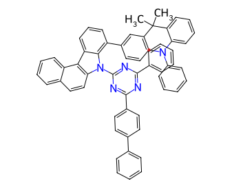 CC1(C)c2ccccc2N(c2ccccc2)c2ccc(-c3cccc4c5c6ccccc6ccc5n(-c5nc(-c6ccccc6)nc(-c6ccc(-c7ccccc7)cc6)n5)c34)cc21